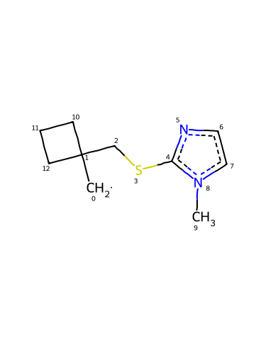 [CH2]C1(CSc2nccn2C)CCC1